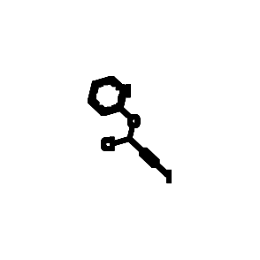 ClC(C#CI)Oc1ccccn1